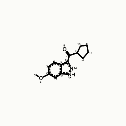 COc1ccc2c(C(=O)C3CCCC3)n[nH]c2c1